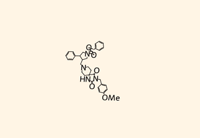 COc1ccc(CN2C(=O)NC3(CCN(CC4CN(S(=O)(=O)c5ccccc5)CC4c4ccccc4)CC3)C2=O)cc1